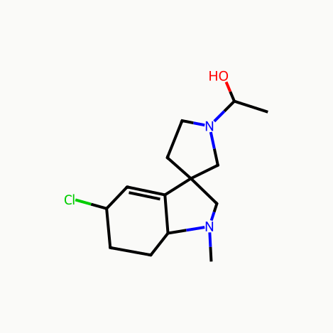 CC(O)N1CCC2(CN(C)C3CCC(Cl)C=C32)C1